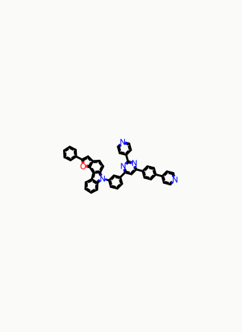 c1ccc(-c2cc3ccc4c(c5ccccc5n4-c4cccc(-c5cc(-c6ccc(-c7ccncc7)cc6)nc(-c6ccncc6)n5)c4)c3o2)cc1